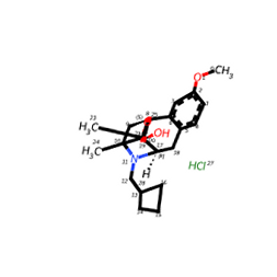 COc1ccc2c(c1)[C@]13CCN(CC4CCC4)[C@H](C2)[C@]1(O)CC(C)(C)OC3.Cl